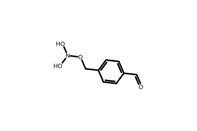 O=Cc1ccc(CON(O)O)cc1